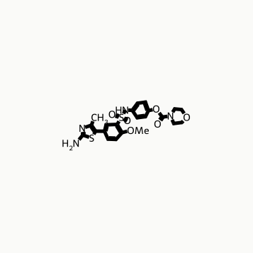 COc1ccc(-c2sc(N)nc2C)cc1S(=O)(=O)Nc1ccc(OC(=O)N2CCOCC2)cc1